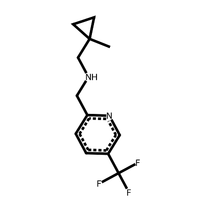 CC1(CNCc2ccc(C(F)(F)F)cn2)CC1